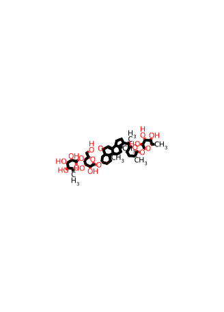 CC1CCC(C(C)C2CCC3C4=CC(=O)C5CC(OC6OC(CO)C(OC7OC(C)C(O)C(O)C7O)C(O)C6O)CCC5(C)C4CCC32C)OC1OC1OC(C)C(O)C(O)C1O